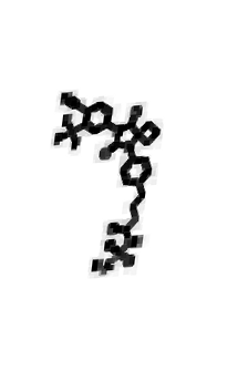 CS(=O)(=O)NC(=O)CCCc1ccc(N2C(=O)N(c3ccc(C#N)c(C(F)(F)F)c3)C(=O)C23CCC3)cc1